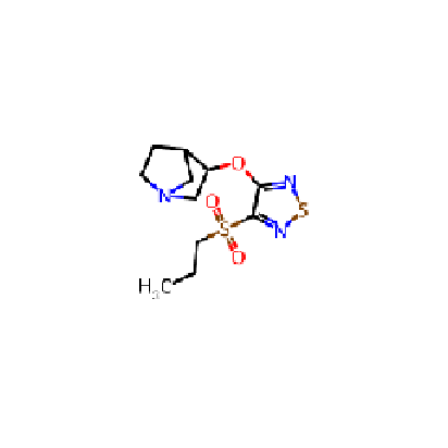 CCCS(=O)(=O)c1nsnc1OC1CN2CCC1C2